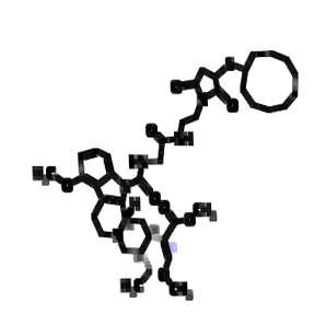 CC[C@@H]1CN2CCc3c(n(C(=O)NCC(=O)NCCN4C(=O)CC(SC5CCCCCCCCC5)C4=O)c4cccc(OC)c34)[C@@H]2C[C@@H]1/C(=C\OC)C(=O)OC